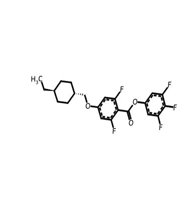 CC[C@H]1CC[C@H](COc2cc(F)c(C(=O)Oc3cc(F)c(F)c(F)c3)c(F)c2)CC1